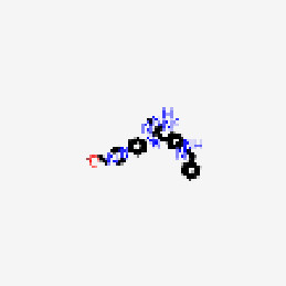 COCCN1CCN([C@H]2CC[C@@H](n3nc(-c4ccc5[nH]c(Cc6ccccc6)nc5c4)c4c(N)ncnc43)CC2)CC1